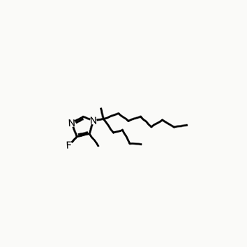 CCCCCCCC(C)(CCCC)n1cnc(F)c1C